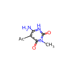 CC(=O)c1c(N)[nH]c(=O)n(C)c1=O